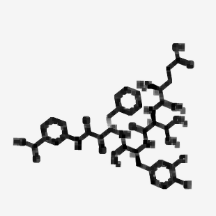 C=C(N[C@@H](Cc1ccccc1)C(=O)C(=O)Nc1cccc(C(=O)O)c1)[C@H](Cc1ccc(Cl)c(Cl)c1)NC(=O)[C@@H](NC(=C)[C@@H](N)CCC(=O)O)C(C)C